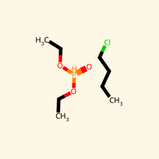 CCCCCl.CCO[PH](=O)OCC